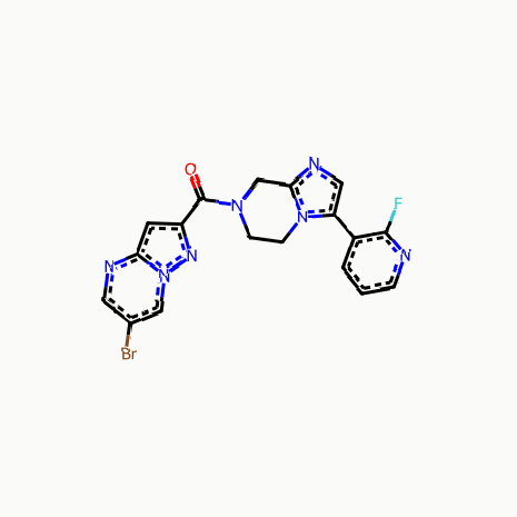 O=C(c1cc2ncc(Br)cn2n1)N1CCn2c(-c3cccnc3F)cnc2C1